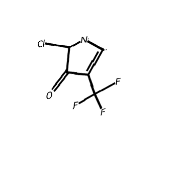 O=C1C(C(F)(F)F)=[C][N]C1Cl